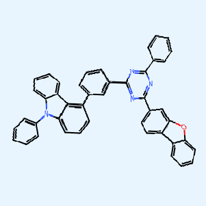 c1ccc(-c2nc(-c3cccc(-c4cccc5c4c4ccccc4n5-c4ccccc4)c3)nc(-c3ccc4c(c3)oc3ccccc34)n2)cc1